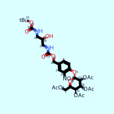 CC(=O)OCC1O[C@@H](Oc2ccc(COC(=O)NCC(O)CNC(=O)OC(C)(C)C)cc2[N+](=O)[O-])C(OC(C)=O)C(OC(C)=O)[C@H]1OC(C)=O